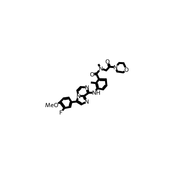 COc1ccc(-c2cnc3c(Nc4cccc(C(=O)N(C)CC(=O)N5CCOCC5)c4C)nccn23)cc1F